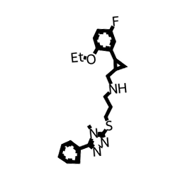 CCOc1ccc(F)cc1C1CC1CNCCCSc1nnc(-c2ccccc2)n1C